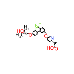 CC(C)(O)CCOc1ccc(-c2cc(COc3ccc([C@H]4C[C@@H]4C(=O)O)nc3)ccc2C(F)(F)F)cc1